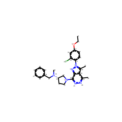 CCOc1ccc(-n2nc3c(N4CC[C@H](N(C)Cc5ccccc5)C4)nnc(C)c3c2C)c(F)c1